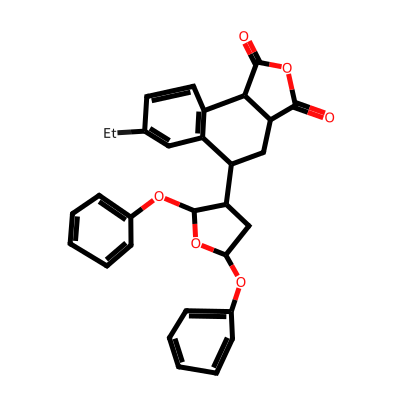 CCc1ccc2c(c1)C(C1CC(Oc3ccccc3)OC1Oc1ccccc1)CC1C(=O)OC(=O)C21